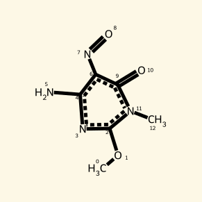 COc1nc(N)c(N=O)c(=O)n1C